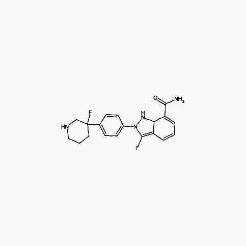 NC(=O)C1=CC=CC2=C(F)N(c3ccc(C4(F)CCCNC4)cc3)NC12